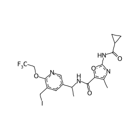 Cc1nc(NC(=O)C2CC2)oc1C(=O)NC(C)c1cnc(OCC(F)(F)F)c(CI)c1